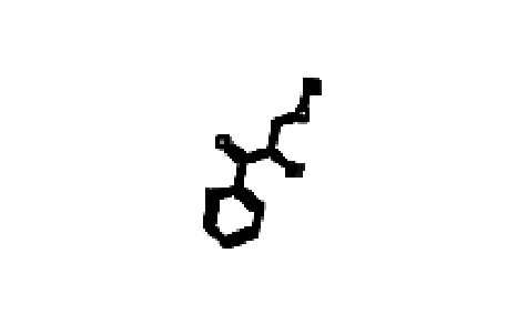 CCOCC(Br)C(=O)c1ccccn1